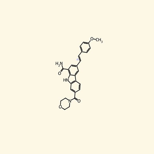 COc1ccc(/C=C/c2cc(C(N)=O)c3[nH]c4cc(C(=O)N5CCOCC5)ccc4c3c2)cc1